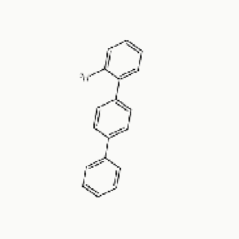 [2H]c1ccccc1-c1ccc(-c2ccccc2)cc1